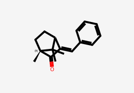 CC1(C)C2CC[C@@]1(C)C(=O)C2=Cc1ccccc1